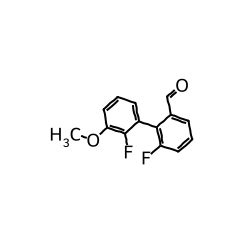 COc1cccc(-c2c(F)cccc2C=O)c1F